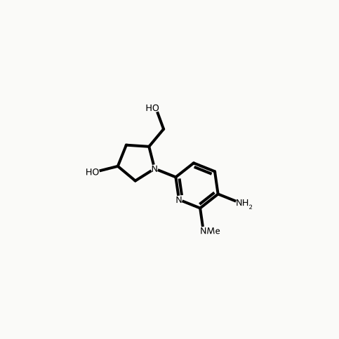 CNc1nc(N2CC(O)CC2CO)ccc1N